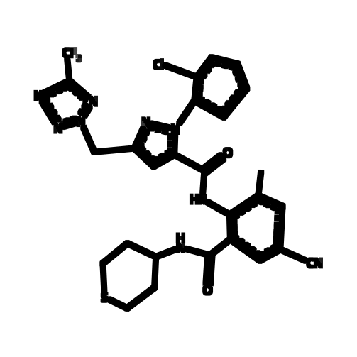 Cc1cc(C#N)cc(C(=O)NC2CCSCC2)c1NC(=O)c1cc(Cn2nnc(C(F)(F)F)n2)nn1-c1ccccc1Cl